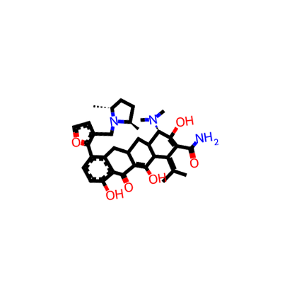 CC(C)=C1C(C(N)=O)=C(O)[C@@H](N(C)C)C2CC3Cc4c(-c5occc5CN5[C@H](C)CC[C@H]5C)ccc(O)c4C(=O)C3=C(O)C12